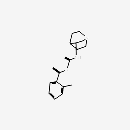 O=C(NC(=O)c1ccccc1F)NC1CN2CCC1CC2